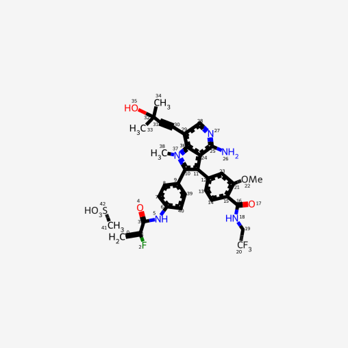 C=C(F)C(=O)Nc1ccc(-c2c(-c3ccc(C(=O)NCC(F)(F)F)c(OC)c3)c3c(N)ncc(C#CC(C)(C)O)c3n2C)cc1.CS(=O)(=O)O